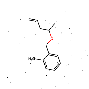 C=CCC(C)OCc1ccccc1[SiH3]